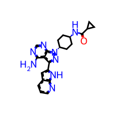 Nc1ncnc2c1c(-c1cc3cccnc3[nH]1)nn2[C@H]1CC[C@H](NC(=O)C2CC2)CC1